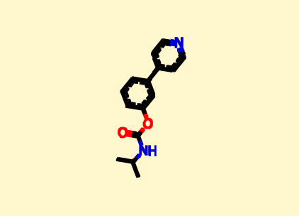 CC(C)NC(=O)Oc1cccc(-c2ccncc2)c1